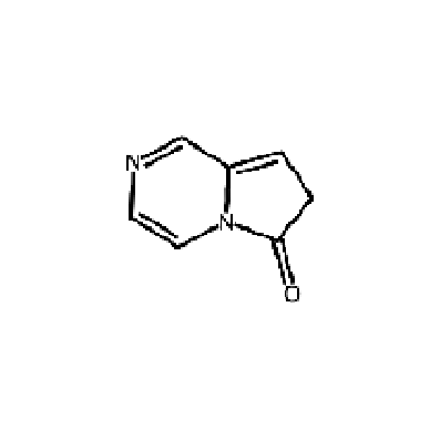 O=C1CC=C2C=NC=CN12